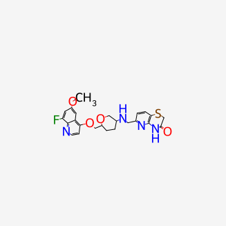 COc1cc(F)c2nccc(OCC3CCC(NCc4ccc5c(n4)NC(=O)CS5)CO3)c2c1